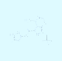 Cc1cc(NC(=O)c2nn(CC3(C)CC3)c3ncnc(N)c23)n[nH]1